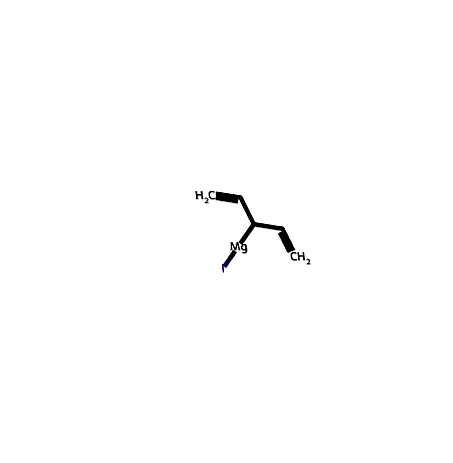 C=C[CH](C=C)[Mg][I]